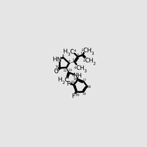 C=C(C)/C(C)=C(\C)[C@H]1CNC(=O)[C@@H]1C(=C)Nc1cccc(F)c1F